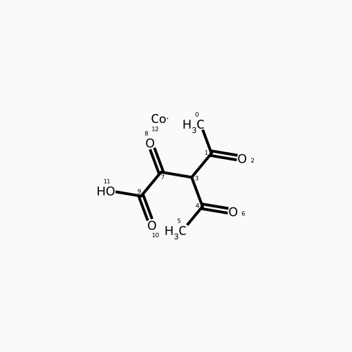 CC(=O)C(C(C)=O)C(=O)C(=O)O.[Co]